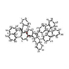 c1ccc(N(c2ccccc2-c2ccc3c4cc5ccccc5cc4n(-c4ccc5c(c4)C(c4ccccc4)(c4ccccc4)c4ccccc4-5)c3c2)c2cccc3ccccc23)cc1